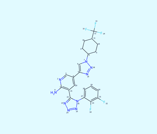 Nc1ncc(-c2cn(C3CCC(C(F)(F)F)CC3)nn2)cc1-c1nnnn1-c1cccc(F)c1F